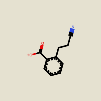 N#CCCc1ccccc1C(=O)O